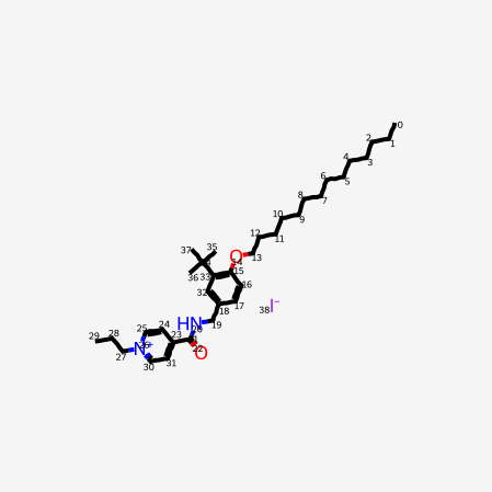 CCCCCCCCCCCCCCOc1ccc(CNC(=O)c2cc[n+](CCC)cc2)cc1C(C)(C)C.[I-]